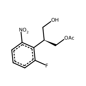 CC(=O)OC[C@H](CO)c1c(F)cccc1[N+](=O)[O-]